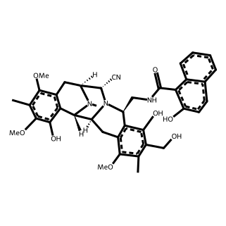 COc1c(C)c(OC)c2c(c1O)[C@H]1[C@@H]3Cc4c(OC)c(C)c(CO)c(O)c4[C@H](CNC(=O)c4c(O)ccc5ccccc45)N3[C@@H](C#N)[C@H](C2)N1C